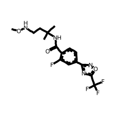 CONCCC(C)(C)NC(=O)c1ccc(-c2noc(C(F)(F)F)n2)cc1F